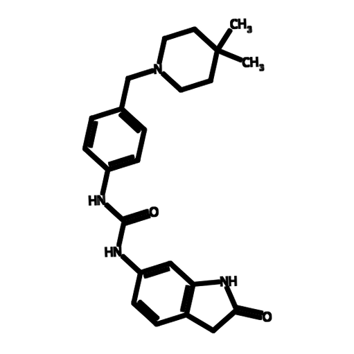 CC1(C)CCN(Cc2ccc(NC(=O)Nc3ccc4c(c3)NC(=O)C4)cc2)CC1